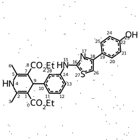 CCOC(=O)C1=C(C)NC(C)=C(C(=O)OCC)C1c1cccc(Nc2nc(-c3ccc(O)cc3)cs2)c1